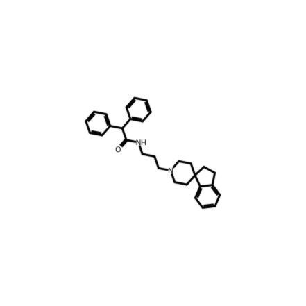 O=C(NCCCN1CCC2(CCc3ccccc32)CC1)C(c1ccccc1)c1ccccc1